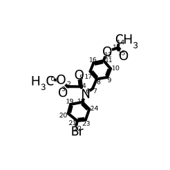 COC(=O)C(=O)N(Cc1ccc(OC(C)=O)cc1)c1ccc(Br)cc1